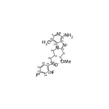 COCCc1nc2c(N)ncc(C)c2n1CCC[S+]([O-])c1ccc(F)cc1F